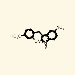 COc1cc(C(=O)O)ccc1Cc1cn(C(C)=O)c2ccc([N+](=O)[O-])cc12